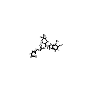 O=C(NC(c1nc2c(F)c(Br)ccc2o1)C1CCC(F)(F)CC1)OCc1ccccc1